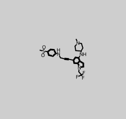 CN1CCC(Nc2cc(C#CCNc3ccc(S(C)(=O)=O)cc3)cc3c2ccn3CC(F)(F)F)CC1